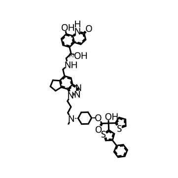 CN(CCCn1nnc2cc(CNC[C@H](O)c3ccc(O)c4[nH]c(=O)ccc34)c3c(c21)CCC3)[C@H]1CC[C@H](OC(=O)C(O)(c2cccs2)c2cc(-c3ccccc3)cs2)CC1